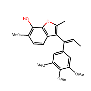 CC=C(c1cc(OC)c(OC)c(OC)c1)c1c(C)oc2c(O)c(OC)ccc12